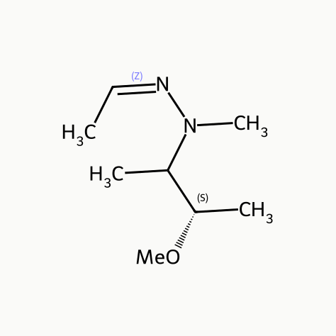 C/C=N\N(C)C(C)[C@H](C)OC